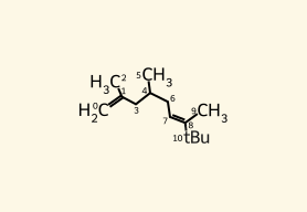 C=C(C)CC(C)CC=C(C)C(C)(C)C